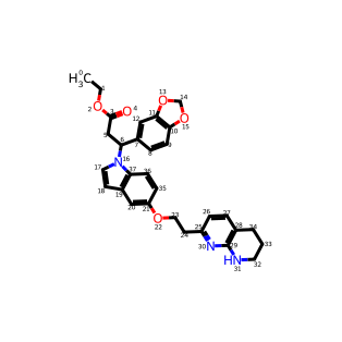 CCOC(=O)CC(c1ccc2c(c1)OCO2)n1ccc2cc(OCCc3ccc4c(n3)NCCC4)ccc21